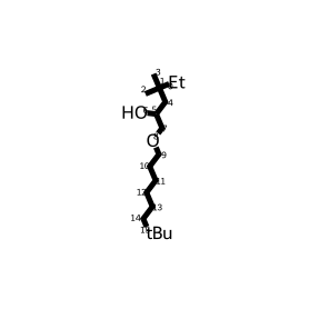 CCC(C)(C)CC(O)COCCCCCCC(C)(C)C